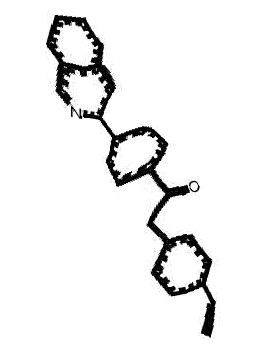 C=Cc1ccc(CC(=O)c2ccc(-c3cc4ccccc4cn3)cc2)cc1